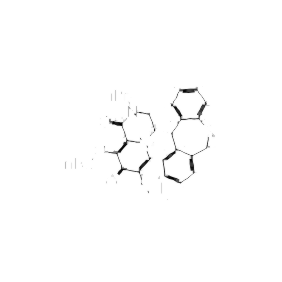 CCCCOc1c2n(cc(N)c1=O)[C@@H](C1c3ccccc3CSc3ccccc31)CN(C(C)C)C2=O